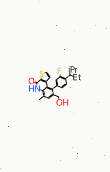 CCC(c1ccc(-c2c(CO)cc(C)c3[nH]c(=O)c4sccc4c23)cc1F)C(C)C